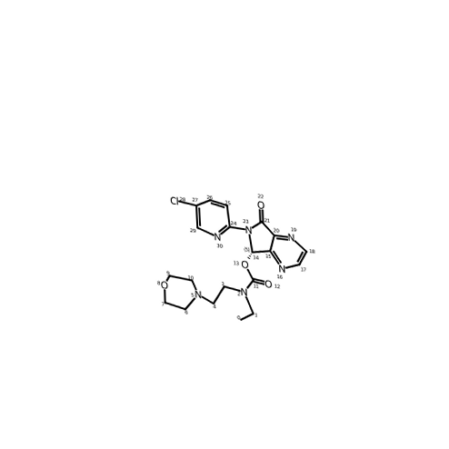 CCN(CCN1CCOCC1)C(=O)O[C@H]1c2nccnc2C(=O)N1c1ccc(Cl)cn1